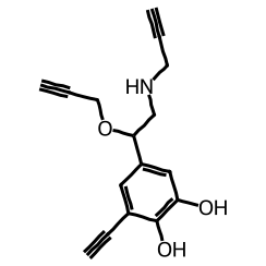 C#CCNCC(OCC#C)c1cc(O)c(O)c(C#C)c1